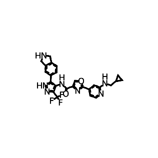 O=C(Nc1c(C(F)(F)F)n[nH]c1-c1ccc2c(c1)CNC2)c1coc(-c2ccnc(NCC3CC3)c2)n1